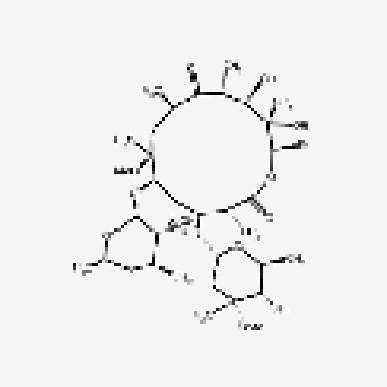 CC[C@H]1OC(=O)[C@H](C)[C@@H](O[C@H]2C[C@@](C)(OC)[C@@H](O)[C@H](C)O2)[C@H](C)[C@@H](O[C@@H]2O[C@H](C)C[C@H](C)[C@H]2O)[C@@](C)(OC)C[C@@H](C)C(=O)[C@H](C)[C@@H](O)[C@]1(C)O